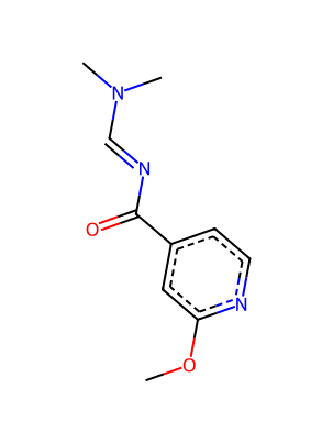 COc1cc(C(=O)/N=C/N(C)C)ccn1